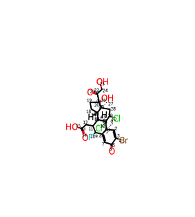 C[C@]12C=C(Br)C(=O)C=C1C(F)C(CC(=O)O)[C@H]1[C@@H]3CC[C@](O)(C(=O)CO)[C@@]3(C)CC(Cl)[C@@]12Cl